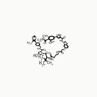 Cc1ncsc1-c1ccc(CNC(=O)[C@@H]2C[C@@H](O)CN2C(=O)[C@@H](NC(=O)CCCNC(=O)COc2ccc3c(c2)[C@H](NC(=O)c2cc(-c4ccc(C(=O)N(C)C)c(O)c4)on2)CC3)C(C)(C)C)cc1